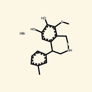 Br.CSc1c(O)c(O)cc2c1CCNCC2c1cccc(C)c1